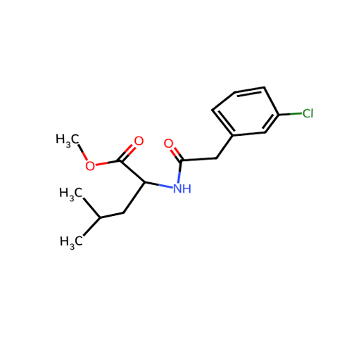 COC(=O)C(CC(C)C)NC(=O)Cc1cccc(Cl)c1